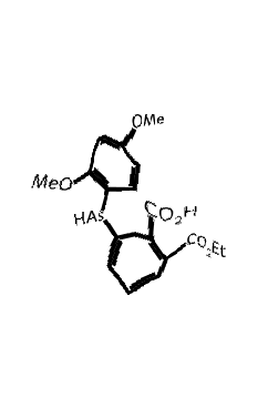 CCOC(=O)c1cccc([AsH]c2ccc(OC)cc2OC)c1C(=O)O